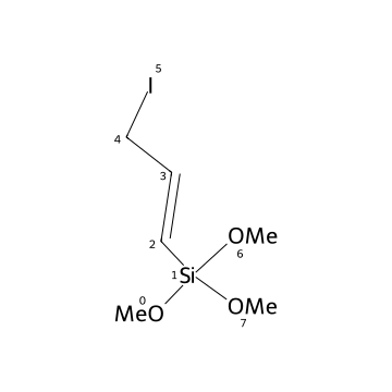 CO[Si](C=CCI)(OC)OC